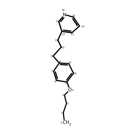 CCCCOc1ccc(CCCc2cccnc2)cc1